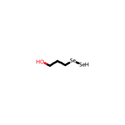 OCCC[Se][SeH]